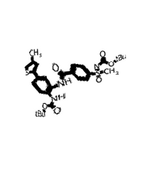 Cc1csc(-c2ccc(NC(=O)OC(C)(C)C)c(NC(=O)c3ccc(S(C)(=O)=NC(=O)OC(C)(C)C)cc3)c2)c1